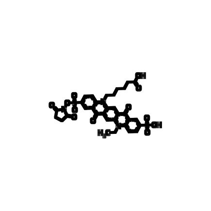 CCn1c2ccc(S(=O)(=O)O)cc2c(=O)c2cc3c(cc21)c(=O)c1cc(S(=O)(=O)ON2C(=O)CCC2=O)ccc1n3CCCCCC(=O)O